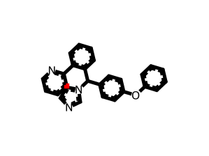 c1ccc(Oc2ccc(C(c3ccccc3-c3ccccn3)n3ccnc3)cc2)cc1